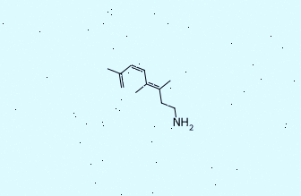 C=C(C)/C=C\C(C)=C(/C)CCN